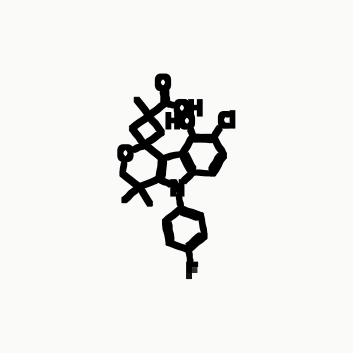 CC1(C(=O)O)CC2(C1)OCC(C)(C)c1c2c2c(O)c(Cl)ccc2n1-c1ccc(F)cc1